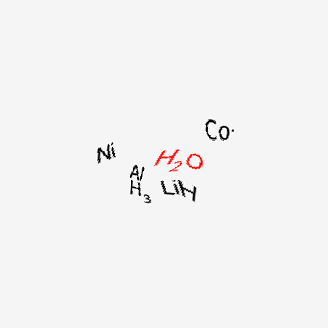 O.[AlH3].[Co].[LiH].[Ni]